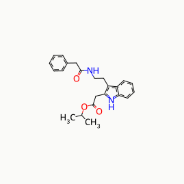 CC(C)OC(=O)Cc1[nH]c2ccccc2c1CCNC(=O)Cc1ccccc1